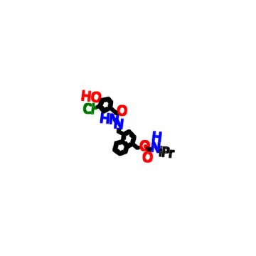 CC(C)NC(=O)OCc1ccc(C=NNC(=O)c2ccc(O)c(Cl)c2)c2ccccc12